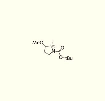 COC1CCN(C(=O)OC(C)(C)C)[C@H]1C